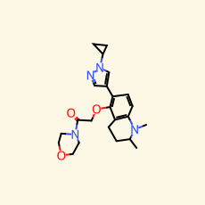 CC1CCc2c(ccc(-c3cnn(C4CC4)c3)c2OCC(=O)N2CCOCC2)N1C